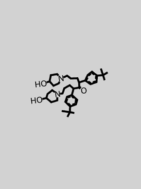 CC(C)(C)c1ccc(C(CCCN2CCC(O)CC2)C(=O)C(CCCN2CCC(O)CC2)c2ccc(C(C)(C)C)cc2)cc1